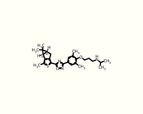 Cc1cc(-c2noc(-c3sc(C)c4c3C[C@@H]3[C@H]4C3(C)C)n2)cc(C)c1OCCCNC(C)C